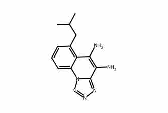 CC(C)Cc1cccc2c1c(N)c(N)c1nnnn12